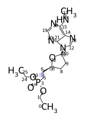 CCOP(=O)(/C=C/[C@@H]1CC[C@H](n2cnc3c(NC)ncnc32)O1)OCC